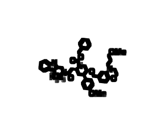 COCCCN1CCOc2ccc(CO[C@H]3CN(C(=O)OCc4ccccc4)[C@H](CC(=O)N(C)Cc4nc5ccccc5n4C)C[C@@H]3c3ccc(OC)cc3)cc21